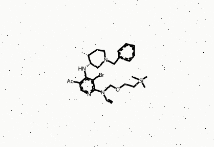 C=CN(COCC[Si](C)(C)C)c1ncc(C(C)=O)c(N[C@H]2CN(Cc3ccccc3)CC[C@H]2C)c1Br